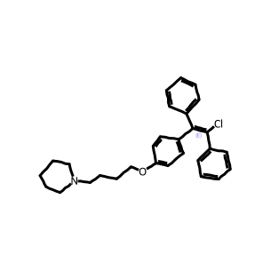 Cl/C(=C(\c1ccccc1)c1ccc(OCCCCN2CCCCC2)cc1)c1ccccc1